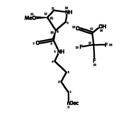 CCCCCCCCCCCCCCNC(=O)[C@@H]1CNC[C@@H]1OC.O=C(O)C(F)(F)F